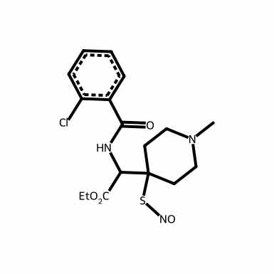 CCOC(=O)C(NC(=O)c1ccccc1Cl)C1(SN=O)CCN(C)CC1